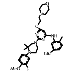 COc1ccc(N2CCN(c3nc(Nc4cc(C(C)(C)C)ccc4C)cc(OCCN4CCOCC4)n3)CC2(C)C)cc1F